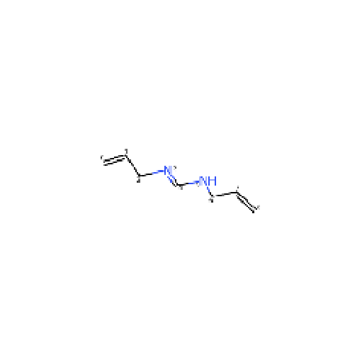 C=CCN=CNCC=C